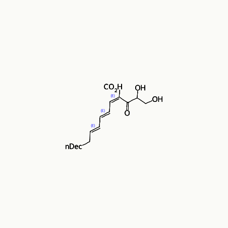 CCCCCCCCCCC/C=C/C=C/C=C(/C(=O)O)C(=O)C(O)CO